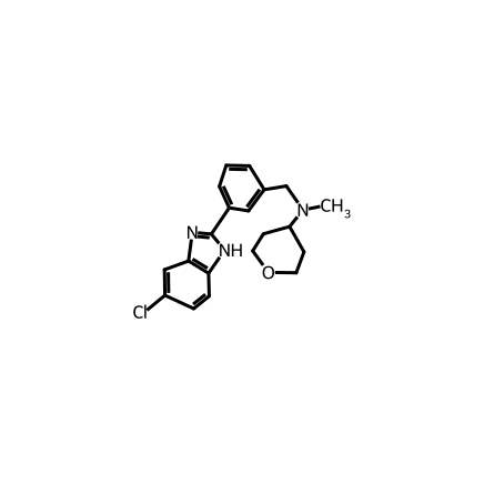 CN(Cc1cccc(-c2nc3cc(Cl)ccc3[nH]2)c1)C1CCOCC1